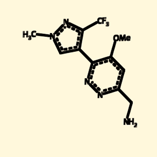 COc1cc(CN)nnc1-c1cn(C)nc1C(F)(F)F